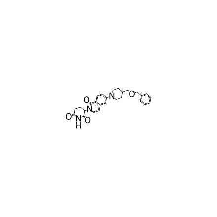 O=C1CCC(n2ccc3cc(N4CCC(COCc5ccccc5)CC4)ccc3c2=O)C(=O)N1